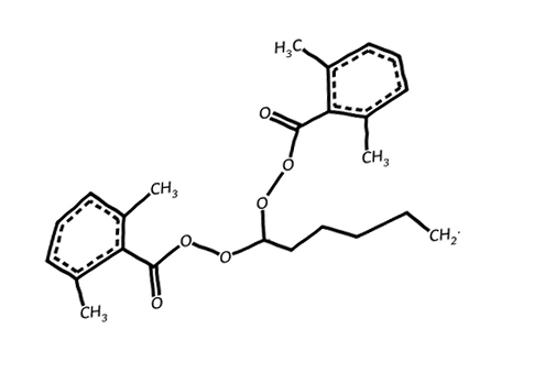 [CH2]CCCC[C](OOC(=O)c1c(C)cccc1C)OOC(=O)c1c(C)cccc1C